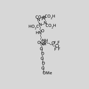 COCCOCCOCCOCCOCCOCCNC(=O)[C@@H](CCCCNC(=O)CCC(C(=O)O)N1CCN(CC(=O)O)CCN(CC(=O)O)CCN(CC(=O)O)CC1)NC(=O)CCCCC(=O)Cc1c(F)c(F)cc(F)c1F